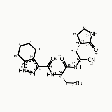 CC(C)(C)C[C@H](NC(=O)c1n[nH]c2c1CCCC2)C(=O)N[C@H](C#N)C[C@@H]1CCNC1=O